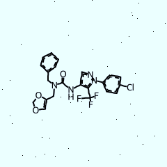 O=C(Nc1cnn(-c2ccc(Cl)cc2)c1C(F)(F)F)N(CC1=COCO1)Cc1ccccc1